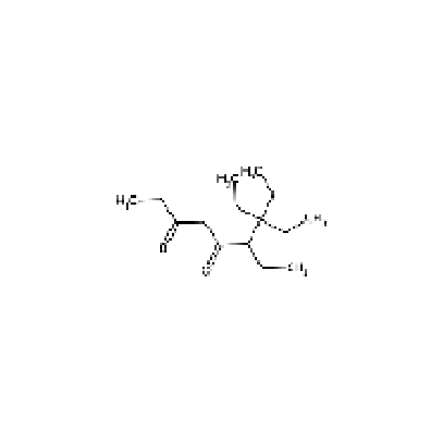 CCC(=O)CC(=O)C(CC)C(CC)(CC)CC